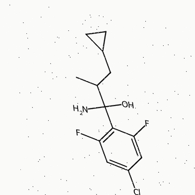 CC(CC1CC1)C(N)(O)c1c(F)cc(Cl)cc1F